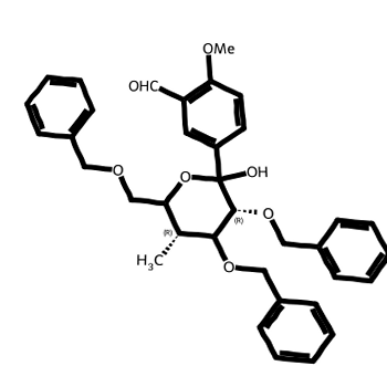 COc1ccc(C2(O)OC(COCc3ccccc3)[C@@H](C)C(OCc3ccccc3)[C@H]2OCc2ccccc2)cc1C=O